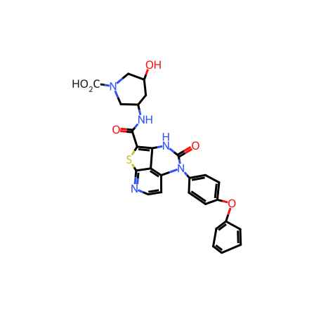 O=C(NC1CC(O)CN(C(=O)O)C1)c1sc2nccc3c2c1NC(=O)N3c1ccc(Oc2ccccc2)cc1